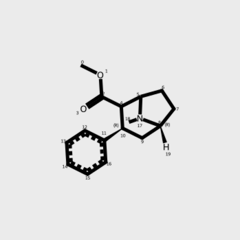 COC(=O)C1C2CC[C@H](C[C@H]1c1ccccc1)N2C